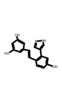 Oc1cc(O)cc(C=Cc2ccc(O)cc2-c2cn[nH]c2)c1